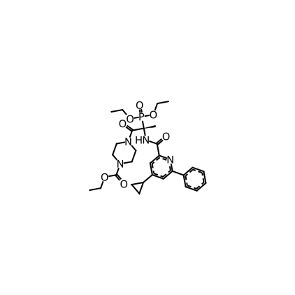 CCOC(=O)N1CCN(C(=O)[C@@](C)(NC(=O)c2cc(C3CC3)cc(-c3ccccc3)n2)P(=O)(OCC)OCC)CC1